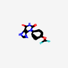 O=c1[nH]c(=O)n(-c2ccc(OC(F)F)cc2)c2nc[nH]c12